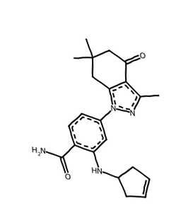 Cc1nn(-c2ccc(C(N)=O)c(NC3CC=CC3)c2)c2c1C(=O)CC(C)(C)C2